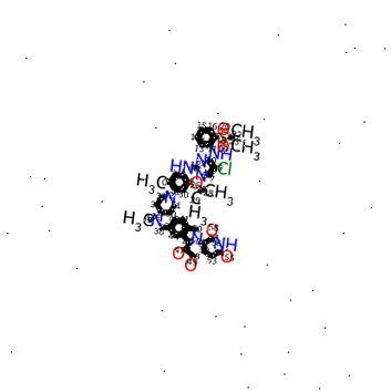 Cc1cc(Nc2ncc(Cl)c(Nc3ccccc3S(=O)(=O)C(C)C)n2)c(OC(C)C)cc1N1CCC(N(C)Cc2ccc3c(c2)C(C(=O)C=O)N(C2CCC(=O)NC2=O)C3)CC1